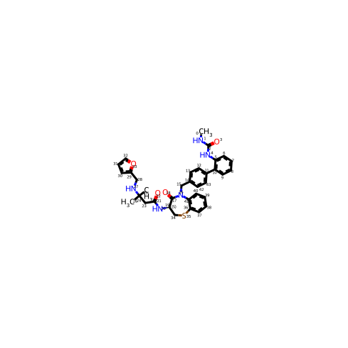 CNC(=O)Nc1ccccc1-c1ccc(CN2C(=O)[C@H](NC(=O)CC(C)(C)NCc3ccco3)CSc3ccccc32)cc1